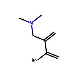 C=C(CN(C)C)C(=C)C(C)C